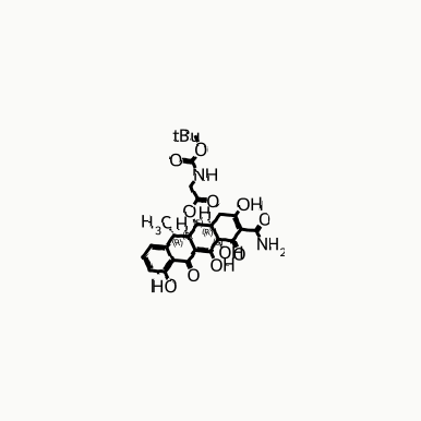 C[C@H]1c2cccc(O)c2C(=O)C2=C(O)[C@]3(O)C(=O)C(C(N)=O)=C(O)C[C@@H]3[C@@H](OC(=O)CNC(=O)OC(C)(C)C)[C@@H]21